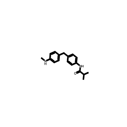 CNc1ccc(Cc2ccc(NC(=O)C(C)C)cc2)cc1